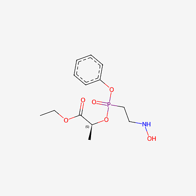 CCOC(=O)[C@H](C)OP(=O)(CCNO)Oc1ccccc1